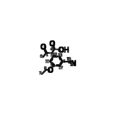 CC(=O)CC(=O)O.CCOc1cccc(C#N)c1